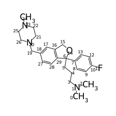 CN(C)CCCC1(c2ccc(F)cc2)OCc2cc(CN3CCN(C)CC3)ccc21